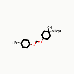 CCCCCCC[C@]1(C#N)CC[C@H](OCO[C@H]2CC[C@H](CCC)CC2)CC1